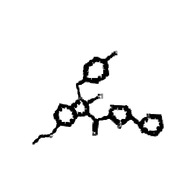 CCOc1ccc2c(c1)c(C(=O)c1ncc(-c3ccccn3)o1)c(Cl)n2Cc1ccc(Cl)cc1